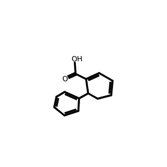 O=C(O)C1=CC=CCC1c1ccccc1